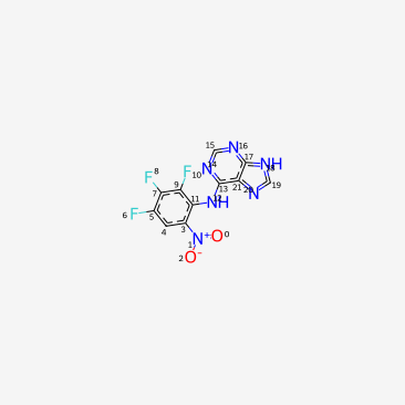 O=[N+]([O-])c1cc(F)c(F)c(F)c1Nc1ncnc2[nH]cnc12